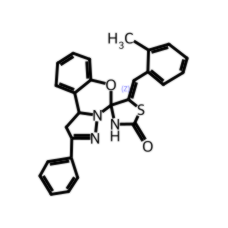 Cc1ccccc1/C=C1\SC(=O)NC12Oc1ccccc1C1CC(c3ccccc3)=NN12